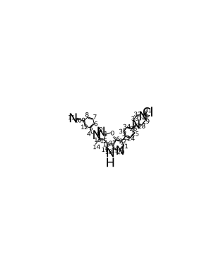 Cc1nn(Cc2cccc(C#N)c2)c(C)c1-c1c[nH]c2ncc(-c3ccc(N4CCN(Cl)CC4)cc3)cc12